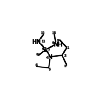 CCC(C)N(CC)[Si](C)(NC)NC